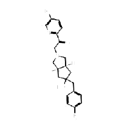 O=C(CN1C[C@@H]2CC(O)(Cc3ccc(F)cc3)C[C@@H]2C1)c1ccc(O)cn1